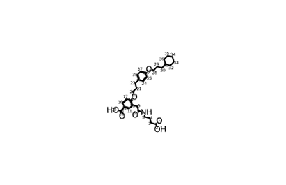 O=C(O)CCCNC(=O)Cc1cc(C(=O)O)ccc1OCCCc1ccc(OCCCC2CCCCC2)cc1